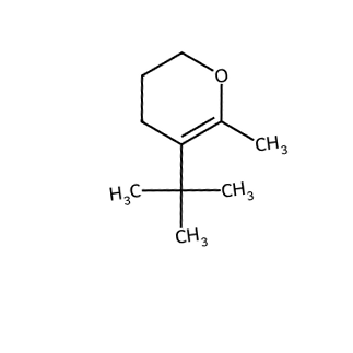 CC1=C(C(C)(C)C)CCCO1